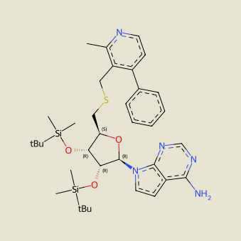 Cc1nccc(-c2ccccc2)c1CSC[C@H]1O[C@@H](n2ccc3c(N)ncnc32)[C@H](O[Si](C)(C)C(C)(C)C)[C@@H]1O[Si](C)(C)C(C)(C)C